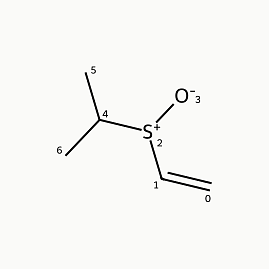 C=C[S+]([O-])C(C)C